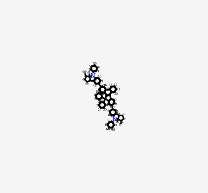 CC1CCC2c3cc(-c4ccc5c(c4)C(c4ccccc4)(c4ccccc4)c4c-5c5ccccc5c5cc(-c6ccc7c(c6)C6CCC(C)C6(C)N7c6ccccc6)ccc45)ccc3N(c3ccccc3)C12C